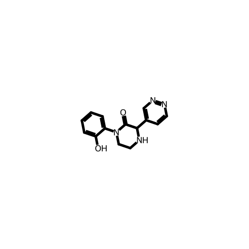 O=C1C(c2ccnnc2)NCCN1c1ccccc1O